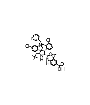 COc1cc(C(=O)O)ccc1NC(=O)[C@@H]1N[C@@H](CC(C)(C)C)[C@@]2(CN(Cc3cccnc3)c3cc(Cl)ccc32)[C@H]1c1cccc(Cl)c1F